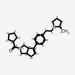 CC1CCCN1CCc1ccc(C2=CCC3CN(C(=O)C4CCCC4)CC23)cc1